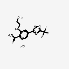 CCCNc1cc(-c2noc(C(F)(F)F)n2)ccc1C(N)=O.Cl